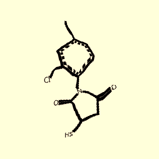 Cc1ccc(N2C(=O)CC(S)C2=O)c(Cl)c1